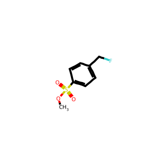 COS(=O)(=O)c1ccc(CF)cc1